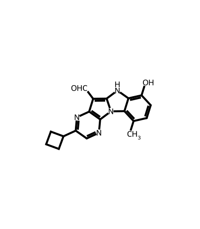 Cc1ccc(O)c2[nH]c3c(C=O)c4nc(C5CCC5)cnc4n3c12